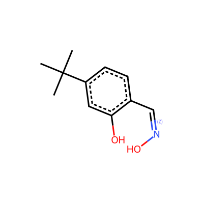 CC(C)(C)c1ccc(/C=N\O)c(O)c1